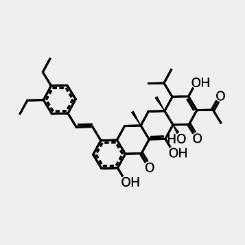 CCc1ccc(/C=C/c2ccc(O)c3c2C[C@]2(C)C[C@]4(C)C(C(C)C)C(O)=C(C(C)=O)C(=O)[C@]4(O)C(O)=C2C3=O)cc1CC